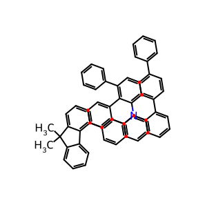 CC1(C)c2ccccc2-c2c(-c3cccc(N(c4ccccc4-c4ccc(-c5ccccc5)cc4)c4cccc(-c5ccccc5)c4-c4ccccc4-c4ccccc4)c3)cccc21